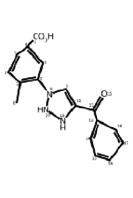 Cc1ccc(C(=O)O)cc1N1C=C(C(=O)c2ccccc2)NN1